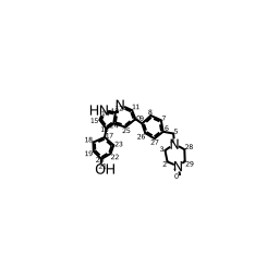 CN1CCN(Cc2ccc(-c3cnc4[nH]cc(-c5ccc(O)cc5)c4c3)cc2)CC1